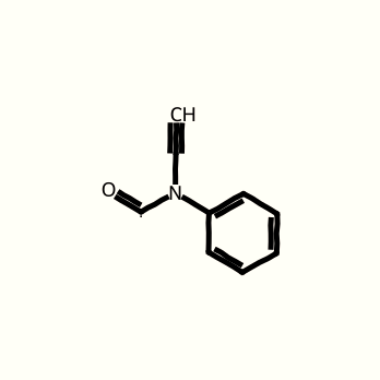 C#CN([C]=O)c1ccccc1